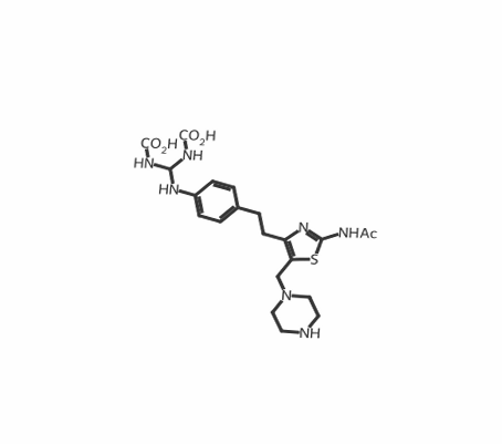 CC(=O)Nc1nc(CCc2ccc(NC(NC(=O)O)NC(=O)O)cc2)c(CN2CCNCC2)s1